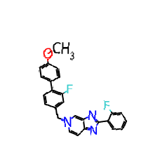 COc1ccc(-c2ccc(Cn3ccc4nc(-c5ccccc5F)nc-4c3)cc2F)cc1